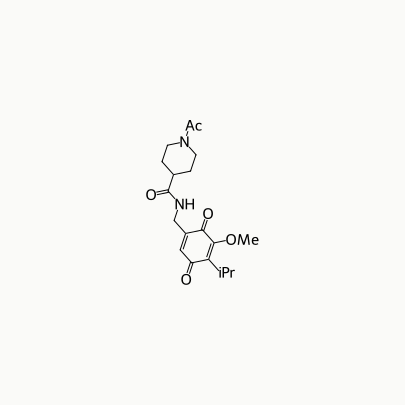 COC1=C(C(C)C)C(=O)C=C(CNC(=O)C2CCN(C(C)=O)CC2)C1=O